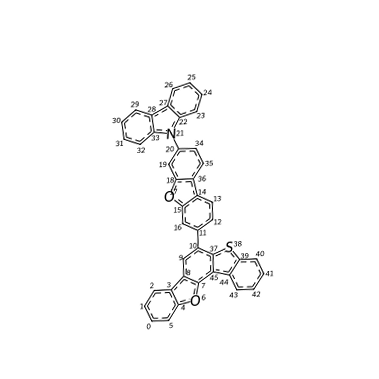 c1ccc2c(c1)oc1c2cc(-c2ccc3c(c2)oc2cc(-n4c5ccccc5c5ccccc54)ccc23)c2sc3ccccc3c21